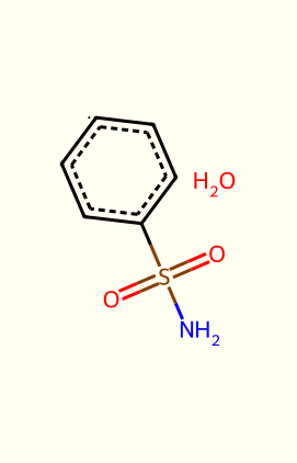 NS(=O)(=O)c1cc[c]cc1.O